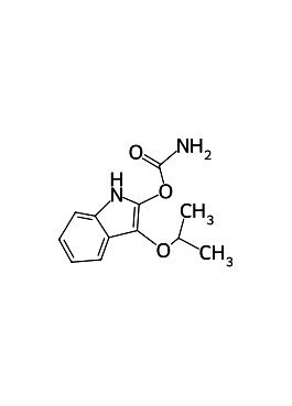 CC(C)Oc1c(OC(N)=O)[nH]c2ccccc12